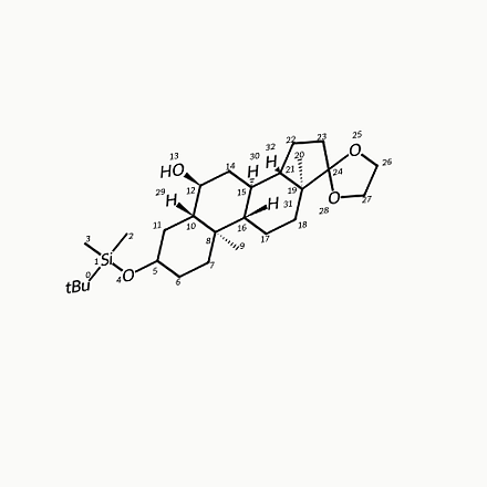 CC(C)(C)[Si](C)(C)OC1CC[C@@]2(C)[C@H](C1)[C@@H](O)C[C@@H]1[C@@H]2CC[C@@]2(C)[C@H]1CCC21OCCO1